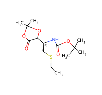 CCSC[C@H](NC(=O)OC(C)(C)C)C1OC(C)(C)OC1=O